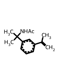 C=C(C)c1cccc(C(C)(C)NC(C)=O)c1